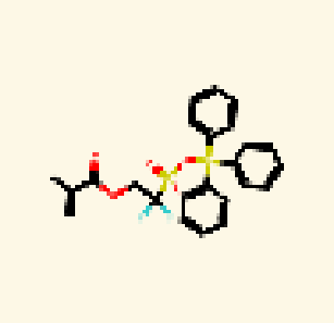 C=C(C)C(=O)OCC(F)(F)S(=O)(=O)OS(c1ccccc1)(c1ccccc1)c1ccccc1